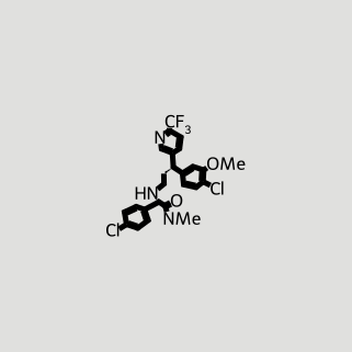 CNC(=O)[C@H](NCC[C@H](c1ccc(C(F)(F)F)nc1)c1ccc(Cl)c(OC)c1)c1ccc(Cl)cc1